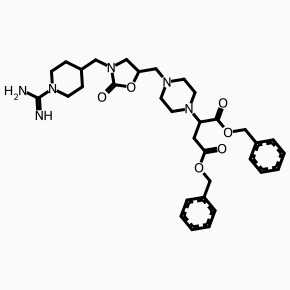 N=C(N)N1CCC(CN2CC(CN3CCN(C(CC(=O)OCc4ccccc4)C(=O)OCc4ccccc4)CC3)OC2=O)CC1